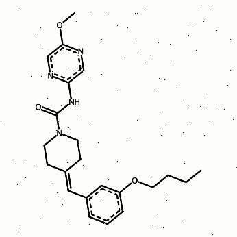 CCCCOc1cccc(C=C2CCN(C(=O)Nc3cnc(OC)cn3)CC2)c1